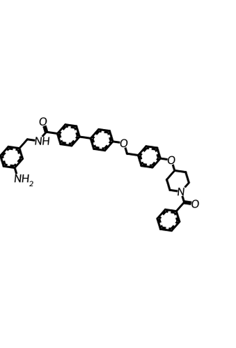 Nc1cccc(CNC(=O)c2ccc(-c3ccc(OCc4ccc(OC5CCN(C(=O)c6ccccc6)CC5)cc4)cc3)cc2)c1